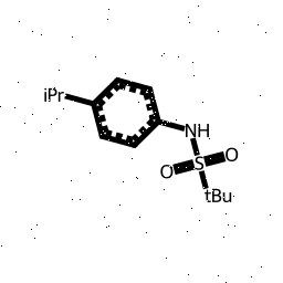 CC(C)c1ccc(NS(=O)(=O)C(C)(C)C)cc1